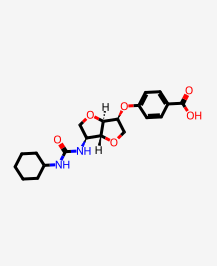 O=C(NC1CCCCC1)N[C@H]1CO[C@@H]2[C@@H]1OC[C@@H]2Oc1ccc(C(=O)O)cc1